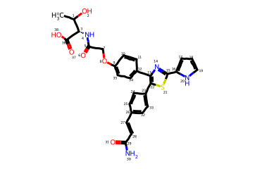 CC(O)[C@H](NC(=O)COc1ccc(-c2nc(-c3ccc[nH]3)sc2-c2ccc(/C=C/C(N)=O)cc2)cc1)C(=O)O